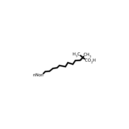 CCCCCCCCCCCCCCCCCC[CH]C(C)(C)C(=O)O